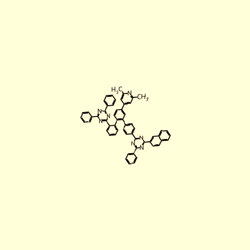 Cc1cc(-c2ccc(-c3ccccc3-c3nc(-c4ccccc4)nc(-c4ccccc4)n3)c(-c3ccc(-c4nc(-c5ccccc5)nc(-c5ccc6ccccc6c5)n4)cc3)c2)cc(C)n1